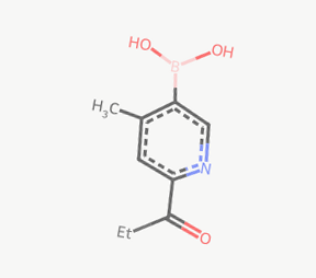 CCC(=O)c1cc(C)c(B(O)O)cn1